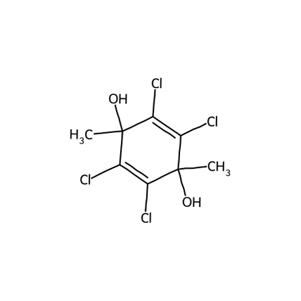 CC1(O)C(Cl)=C(Cl)C(C)(O)C(Cl)=C1Cl